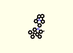 Cc1cccc(N(c2cccc(-c3cccc4c5ccc6cccc7c8ccccc8n(c34)c5c67)c2)c2cccc3c2-c2cc4ccccc4cc2C3(c2ccccc2)c2ccccc2)c1